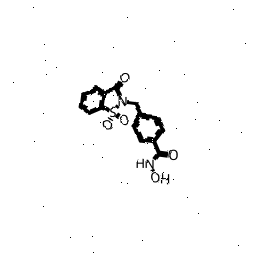 O=C(NO)c1ccc(CN2C(=O)c3ccccc3S2(=O)=O)cc1